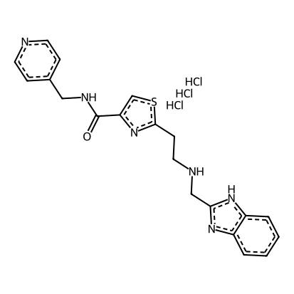 Cl.Cl.Cl.O=C(NCc1ccncc1)c1csc(CCNCc2nc3ccccc3[nH]2)n1